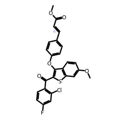 COC(=O)/C=C/c1ccc(Oc2c(C(=O)c3ccc(F)cc3Cl)sc3cc(OC)ccc23)cc1